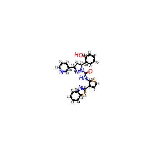 O=C(Nc1sccc1-c1nc2ccccc2s1)N1N=C(c2cccnc2)CC1c1ccccc1O